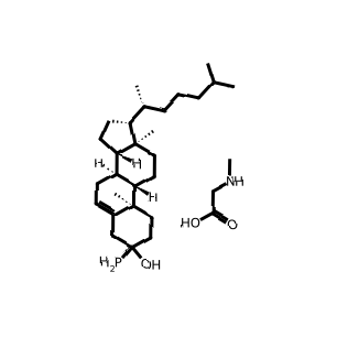 CC(C)CCC[C@@H](C)[C@H]1CC[C@H]2[C@@H]3CC=C4CC(O)(P)CC[C@]4(C)[C@H]3CC[C@]12C.CNCC(=O)O